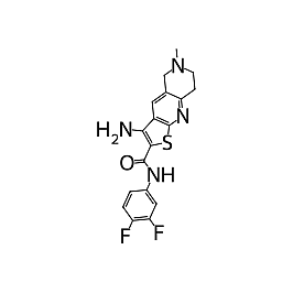 CN1CCc2nc3sc(C(=O)Nc4ccc(F)c(F)c4)c(N)c3cc2C1